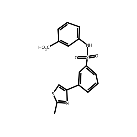 Cc1nc(-c2cccc(S(=O)(=O)Nc3cccc(C(=O)O)c3)c2)cs1